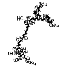 CC(C)(C)OC(=O)CC[C@H](NC(=O)N[C@@H](CCCCNC(=O)CCCCCCC(=O)N[C@@H](CCCCN(Cc1nccn1CC(=O)OC(C)(C)C)Cc1nccn1CC(=O)OC(C)(C)C)C(=O)O)C(=O)OC(C)(C)C)C(=O)OC(C)(C)C